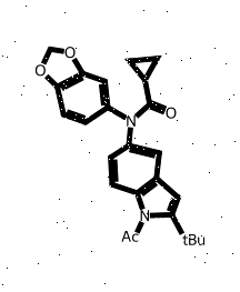 CC(=O)n1c(C(C)(C)C)cc2cc(N(C(=O)C3CC3)c3ccc4c(c3)OCO4)ccc21